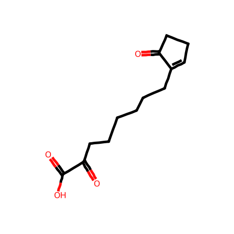 O=C(O)C(=O)CCCCCCC1=CCCC1=O